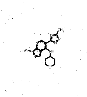 CCCn1ncc2c(NC3CCOCC3)c(-c3nnc(C)o3)cnc21